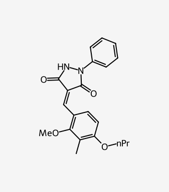 CCCOc1ccc(C=C2C(=O)NN(c3ccccc3)C2=O)c(OC)c1C